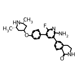 C[C@@H]1CC(Oc2ccc(-c3cc(-c4ccc5c(c4)CCNC5=O)c(N)nc3F)cc2)C[C@H](C)N1